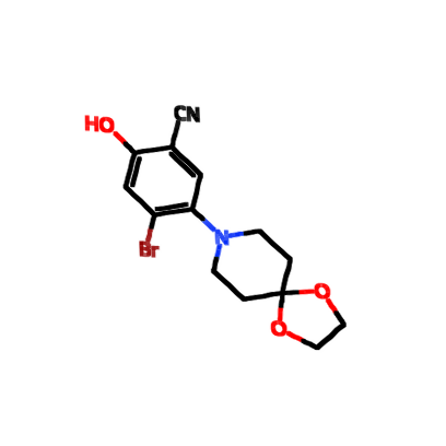 N#Cc1cc(N2CCC3(CC2)OCCO3)c(Br)cc1O